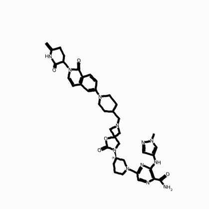 C=C1CCC(n2ccc3cc(N4CCC(CN5CC6(C5)CN([C@@H]5CCCN(c7cnc(C(N)=O)c(Nc8cnn(C)c8)n7)C5)C(=O)O6)CC4)ccc3c2=O)C(=O)N1